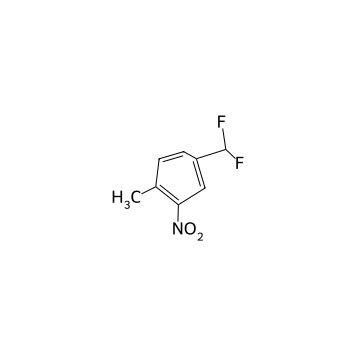 Cc1ccc(C(F)F)cc1[N+](=O)[O-]